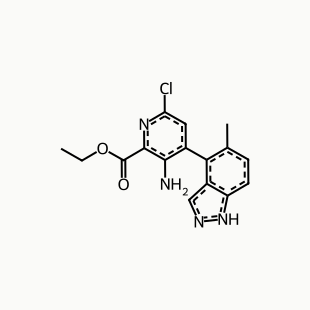 CCOC(=O)c1nc(Cl)cc(-c2c(C)ccc3[nH]ncc23)c1N